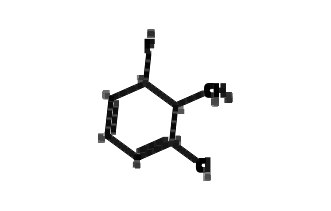 CC1C(Cl)=CC=CC1F